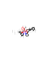 COCCCN(c1ccccc1-c1cc(C)cc(C(C)(C)c2ccccc2)c1)c1cc(C)cc(C(C)(C)C)c1O